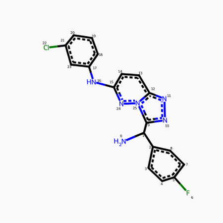 NC(c1ccc(F)cc1)c1nnc2ccc(Nc3cccc(Cl)c3)nn12